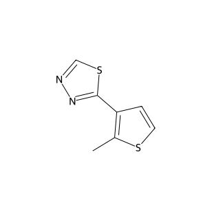 Cc1sccc1-c1nncs1